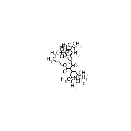 CCCCOC(=O)C(C(=O)OCc1cc(C(C)(C)C)c(O)c(C(C)(C)C)c1)C1CC(C)(C)N(C)C(C)(C)C1